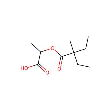 CCC(C)(CC)C(=O)OC(C)C(=O)O